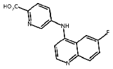 O=C(O)c1ccc(Nc2ccnc3ccc(F)cc23)cn1